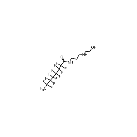 O=C(NCCCNCCO)C(F)(F)C(F)(F)C(F)(F)C(F)(F)C(F)(F)C(F)(F)C(F)(F)F